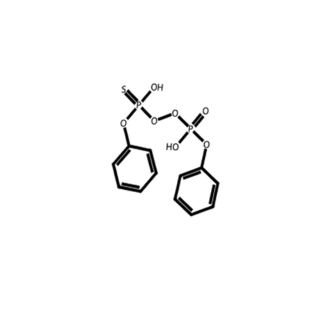 O=P(O)(OOP(O)(=S)Oc1ccccc1)Oc1ccccc1